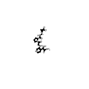 N=C(C(N)=O)c1ccncc1NCC(=O)N1CCC[C@H]1C(=O)NC[C@H]1CC1(Cl)Cl